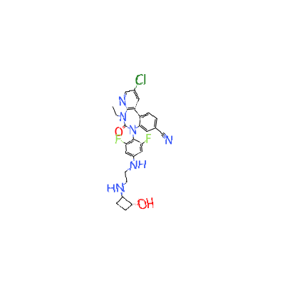 CCN1C(=O)N(c2c(F)cc(NCCN[C@@H]3CC[C@H]3O)cc2F)c2cc(C#N)ccc2-c2cc(Cl)cnc21